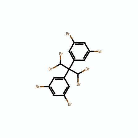 Brc1[c]c(Br)cc(C(c2cc(Br)[c]c(Br)c2)(C(Br)Br)C(Br)Br)c1